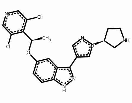 C[C@@H](Oc1ccc2[nH]nc(-c3cnn([C@H]4CCNC4)c3)c2c1)c1c(Cl)cncc1Cl